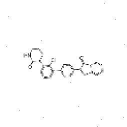 O=C1NCCCC1c1cccc(-c2ccc(N3Cc4ccccc4C3=O)cc2)c1Cl